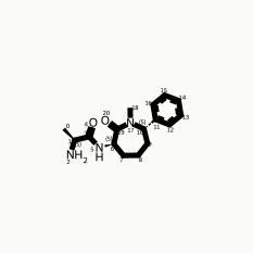 C[C@H](N)C(=O)N[C@H]1CCC[C@@H](c2ccccc2)N(C)C1=O